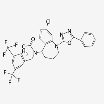 CC(=O)N(Cc1cc(C(F)(F)F)cc(C(F)(F)F)c1)C1CCCN(c2nnc(-c3ccccc3)o2)c2cc(Cl)ccc21